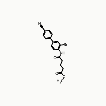 COC(=O)CCCC(=O)Nc1ccc(-c2ccc(C#N)cc2)cc1Br